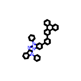 c1ccc(-n2c3cc(-c4cccc(-c5ccc6c7ccccc7c7ccccc7c6c5)c4)ccc3n3c2nc2c4ccccc4n(-c4ccccc4)c23)cc1